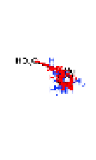 CCCC[C@H](NC(=O)COCCOCCNC(=O)CCCCCCCCCCCCCCC(=O)O)C(=O)N[C@H]1CCC(=O)NCCCC[C@@H](C(N)=O)NC(=O)[C@H](Cc2c[nH]c3ccccc23)NC(=O)[C@H](CCCNC(=N)N)NC(=O)[C@@H](Cc2ccccc2)NC(=O)C2C[C@@H](O)CN2C1=O